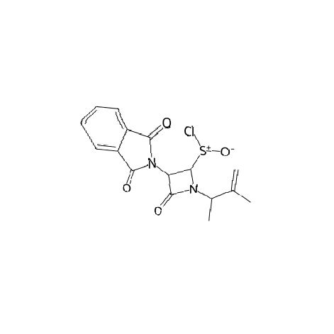 C=C(C)C(C)N1C(=O)C(N2C(=O)c3ccccc3C2=O)C1[S+]([O-])Cl